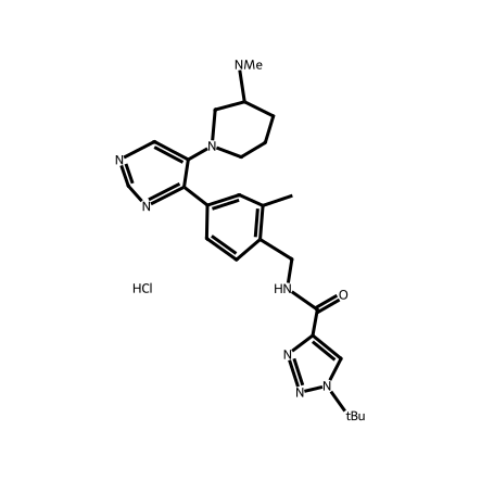 CNC1CCCN(c2cncnc2-c2ccc(CNC(=O)c3cn(C(C)(C)C)nn3)c(C)c2)C1.Cl